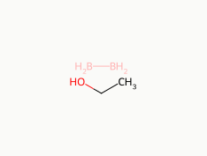 BB.CCO